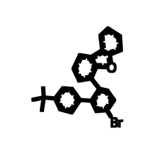 CC(C)(C)c1ccc(-c2cc(Br)ccc2-c2cccc3c2oc2ccccc23)cc1